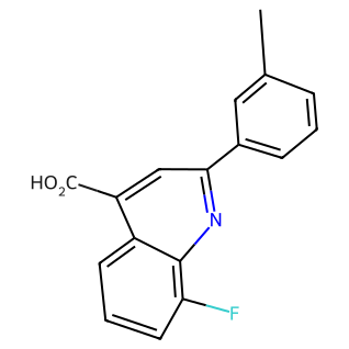 Cc1cccc(-c2cc(C(=O)O)c3cccc(F)c3n2)c1